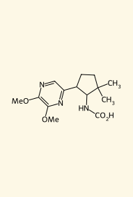 COc1ncc(C2CCC(C)(C)C2NC(=O)O)nc1OC